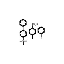 C[Si](C)(C)c1ccc(-c2ccccc2)cc1.Cc1ccc(S(=O)(=O)O)cc1.Ic1ccccc1